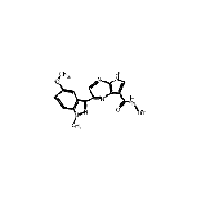 CCCNC(=O)c1c[nH]c2ncc(-c3nn(C)c4ccc(OC(F)(F)F)cc34)nc12